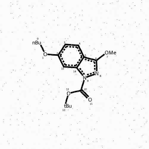 CCCCOc1ccc2c(OC)nn(C(=O)OC(C)(C)C)c2c1